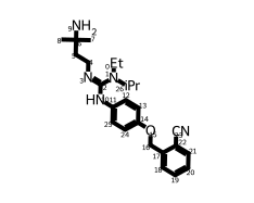 CCN(C(=NCCC(C)(C)N)Nc1ccc(OCc2ccccc2C#N)cc1)C(C)C